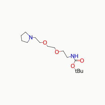 CC(C)(C)OC(=O)NCCOCCOCCN1CCCC1